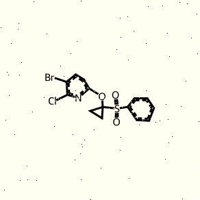 O=S(=O)(c1ccccc1)C1(Oc2ccc(Br)c(Cl)n2)CC1